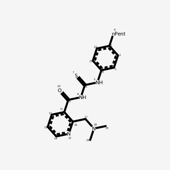 CCCCCc1ccc(NC(=S)NC(=O)c2cccnc2CN(C)C)cc1